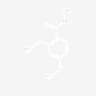 CNC(=O)c1ccc(OC)cc1OC